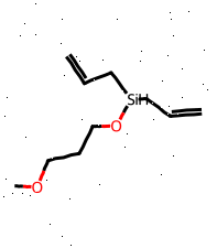 C=CC[SiH](CC=C)OCCCOC